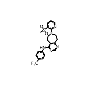 CS(=O)(=O)c1cccnc1N1CCc2ncnc(Nc3ccc(C(F)(F)F)cc3)c2CC1